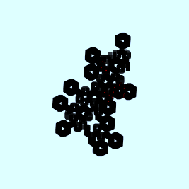 O=C(O[C@@H]1[C@@H](OC(=O)c2ccccc2)[C@H](O[C@@H]2[C@@H](OC(=O)c3ccccc3)[C@H](O[C@H]3[C@H](OC(=O)c4ccccc4)[C@@H](OC(=O)c4ccccc4)[C@H](OCCN(Cc4ccccc4)C(=O)OCc4ccccc4)O[C@@H]3COCc3ccccc3)O[C@@H]3CO[C@@H](c4ccccc4)O[C@@H]23)O[C@H](COCc2ccccc2)[C@H]1O[C@@H]1O[C@@H]2CO[C@@H](c3ccccc3)O[C@H]2[C@H](O)[C@H]1OC(=O)c1ccccc1)c1ccccc1